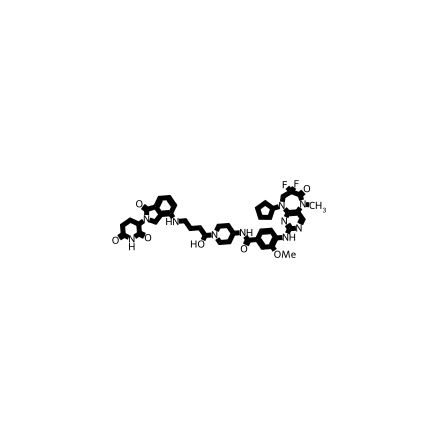 COc1cc(C(=O)NC2CCN(C(O)CCCNc3cccc4c3CN(C3CCC(=O)NC3=O)C4=O)CC2)ccc1Nc1ncc2c(n1)N(C1CCCC1)CC(F)(F)C(=O)N2C